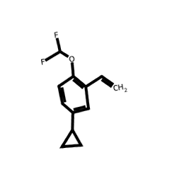 C=Cc1cc(C2CC2)ccc1OC(F)F